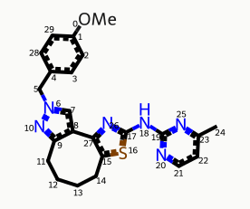 COc1ccc(Cn2cc3c(n2)CCCCc2sc(Nc4nccc(C)n4)nc2-3)cc1